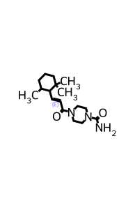 CC1CCCC(C)(C)C1/C=C/C(=O)N1CCN(C(N)=O)CC1